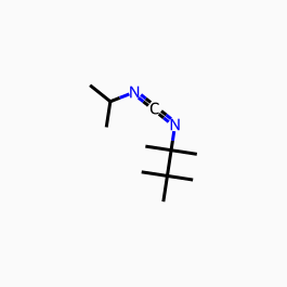 CC(C)N=C=NC(C)(C)C(C)(C)C